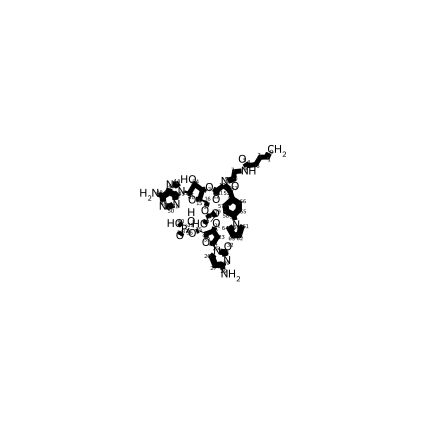 C=CCCC(=O)NCc1nc(C(=O)OC2[C@@H](COP(=O)(O)OC3C[C@H](n4ccc(N)nc4=O)O[C@@H]3COP(=O)(O)O)O[C@@H](n3cnc4c(N)ncnc43)[C@H]2O)c(-c2ccc(-n3cccc3)cc2)o1